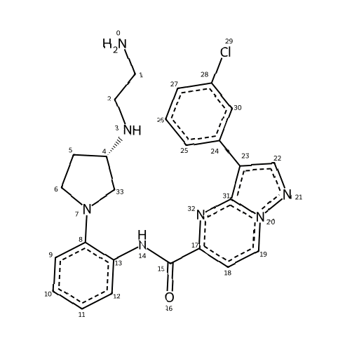 NCCN[C@H]1CCN(c2ccccc2NC(=O)c2ccn3ncc(-c4cccc(Cl)c4)c3n2)C1